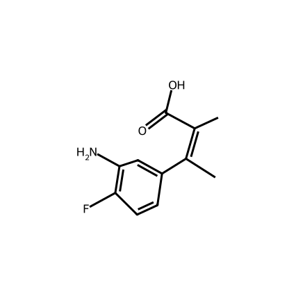 C/C(C(=O)O)=C(\C)c1ccc(F)c(N)c1